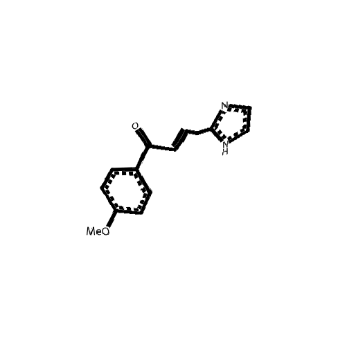 COc1ccc(C(=O)/C=C/c2ncc[nH]2)cc1